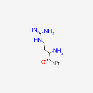 CC(C)C(=O)C(N)CCNC(=N)N